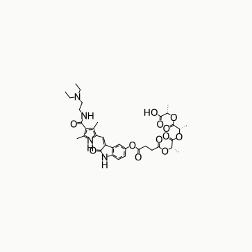 CCN(CC)CCNC(=O)c1c(C)[nH]c(C=C2C(=O)Nc3ccc(OC(=O)CCC(=O)O[C@@H](C)C(=O)O[C@@H](C)C(=O)O[C@@H](C)C(=O)O)cc32)c1C